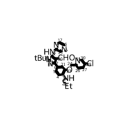 CCSNc1ccc(-c2nn(C(C)(C)C)c(Nc3cnccn3)c2C=O)cc1OCc1ccc(Cl)cn1